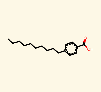 CCCCCCCCCCc1ccc(C(=O)O)cc1